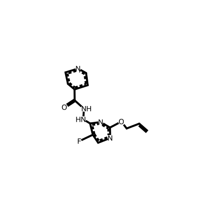 C=CCOc1ncc(F)c(NNC(=O)c2ccncc2)n1